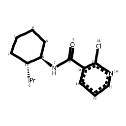 CC(C)[C@@H]1CCCC[C@H]1NC(=O)c1cccnc1Cl